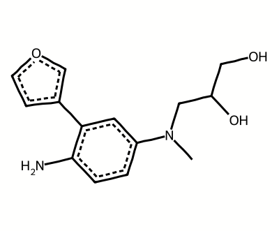 CN(CC(O)CO)c1ccc(N)c(-c2ccoc2)c1